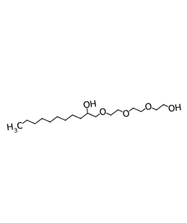 CCCCCCCCCC(O)COCCOCCOCCO